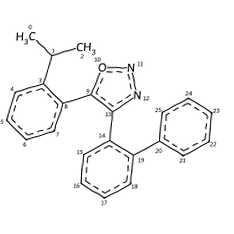 CC(C)c1ccccc1-c1onnc1-c1ccccc1-c1ccccc1